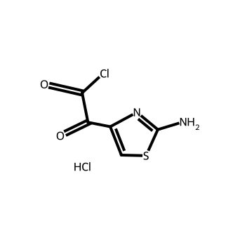 Cl.Nc1nc(C(=O)C(=O)Cl)cs1